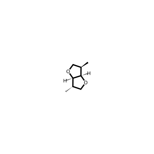 C[C@@H]1CO[C@H]2[C@@H]1OC[C@@H]2C